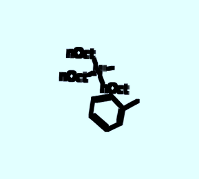 CCCCCCCC[N+](C)(CCCCCCCC)CCCCCCCC.Cc1ccccc1